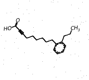 CCCc1ccccc1CCCCCCC#CC(=O)O